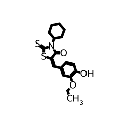 CCOc1cc(C=C2SC(=S)N(C3CCCCC3)C2=O)ccc1O